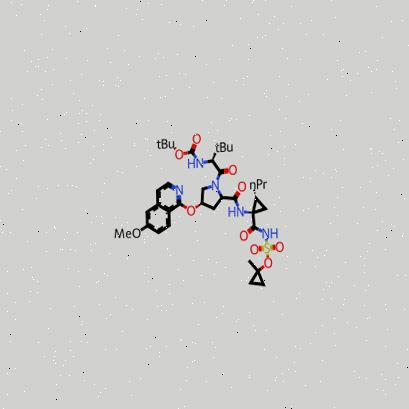 CCC[C@@H]1C[C@]1(NC(=O)C1C[C@@H](Oc2nccc3cc(OC)ccc23)CN1C(=O)[C@@H](NC(=O)OC(C)(C)C)C(C)(C)C)C(=O)NS(=O)(=O)OC1(C)CC1